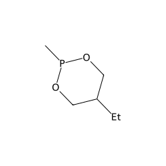 CCC1COP(C)OC1